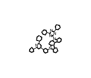 c1ccc(-c2cc(-c3cccc(-n4c5ccccc5c5c6c7ccccc7n(-c7nc(-c8ccccc8)nc(-c8ccccc8)n7)c6ccc54)c3)cc(-c3ccccc3)n2)cc1